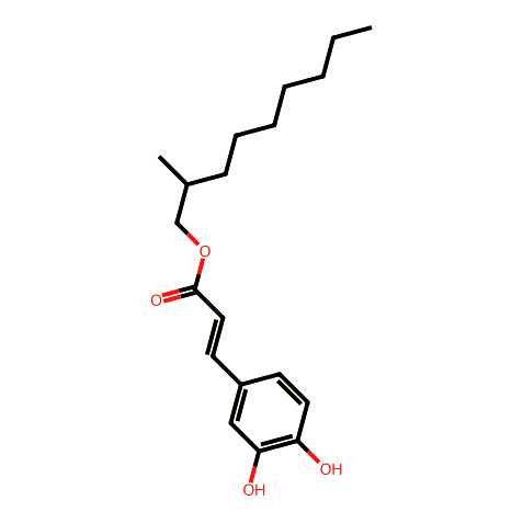 CCCCCCCC(C)COC(=O)/C=C/c1ccc(O)c(O)c1